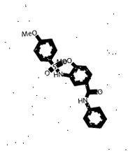 COc1ccc(S(=O)(=O)Nc2cc(C(=O)Nc3ccccc3)ccc2OC)cc1